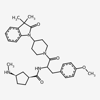 CN[C@@H]1CC[C@H](C(=O)NC(Cc2ccc(OC)cc2)C(=O)N2CCC(N3C(=O)C(C)(C)c4ccccc43)CC2)C1